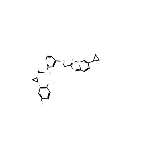 N#Cc1ccc(Cl)cc1[C@H]1C[C@@H]1C(=O)Nc1cc(NCc2nc3ccc(C4CC4)cn3n2)ccn1